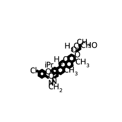 C=N/N=C(/CC12CCC3C(CCC4C3(C)CCC3C(C)C(OC(=O)CC(C)(C)C=O)CCC34C)C1=C(C(C)C)C(=O)C2)OCc1ccc(Cl)cc1